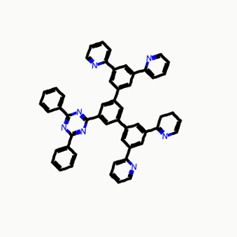 C1=CN=C(c2cc(-c3cc(-c4cc(-c5ccccn5)cc(-c5ccccn5)c4)cc(-c4nc(-c5ccccc5)nc(-c5ccccc5)n4)c3)cc(-c3ccccn3)c2)CC1